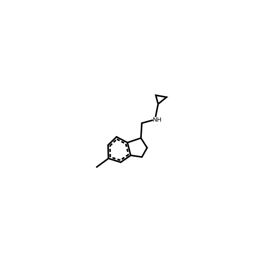 Cc1ccc2c(c1)CCC2CNC1CC1